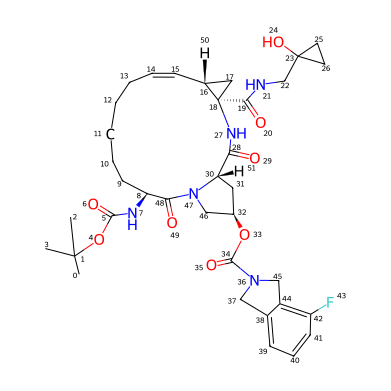 CC(C)(C)OC(=O)N[C@H]1CCCCC/C=C\[C@@H]2C[C@@]2(C(=O)NCC2(O)CC2)NC(=O)[C@@H]2C[C@@H](OC(=O)N3Cc4cccc(F)c4C3)CN2C1=O